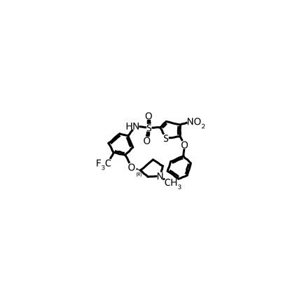 CN1CC[C@@H](Oc2cc(NS(=O)(=O)c3cc([N+](=O)[O-])c(Oc4ccccc4)s3)ccc2C(F)(F)F)C1